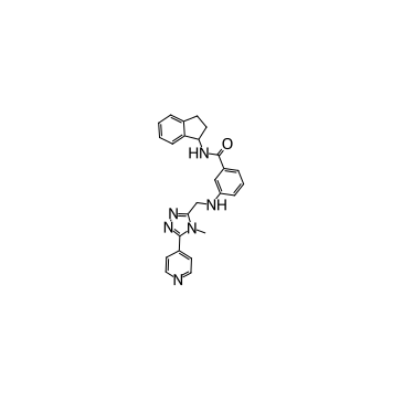 Cn1c(CNc2cccc(C(=O)NC3CCc4ccccc43)c2)nnc1-c1ccncc1